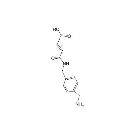 NCc1ccc(CNC(=O)/C=C/C(=O)O)cc1